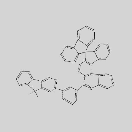 CC1(C)c2ccccc2-c2ccc(-c3cccc(-c4nc5ccccc5c5c6c(ccc45)C4(c5ccccc5-c5ccccc54)c4ccccc4-6)c3)cc21